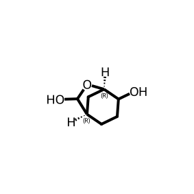 OC1O[C@@H]2C[C@H]1CCC2O